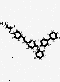 C=CC(=O)Oc1ccc(C=Cc2ccc(N(c3ccccc3)c3ccc(-c4ccccc4)cc3)cc2)cc1